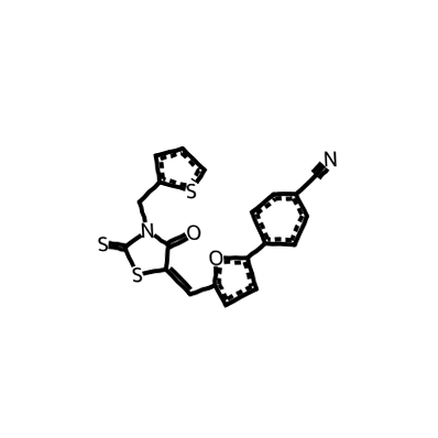 N#Cc1ccc(-c2ccc(C=C3SC(=S)N(Cc4cccs4)C3=O)o2)cc1